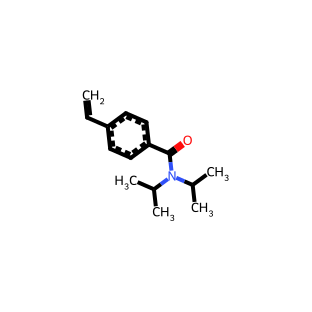 C=Cc1ccc(C(=O)N(C(C)C)C(C)C)cc1